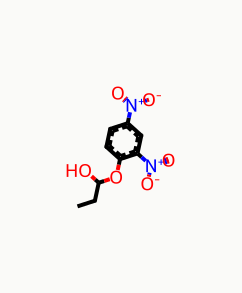 CCC(O)Oc1ccc([N+](=O)[O-])cc1[N+](=O)[O-]